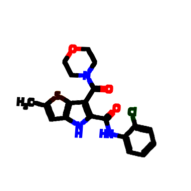 Cc1cc2[nH]c(C(=O)Nc3ccccc3Cl)c(C(=O)N3CCOCC3)c2s1